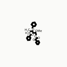 COC(COC(=O)C(=O)c1ccccc1)C(OCc1ccccc1)C(OCc1ccccc1)[C@@H](C)N